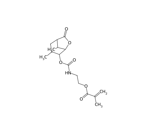 C=C(C)C(=O)OCCNC(=O)OC1C(C)CC2C(=O)OC1C2C